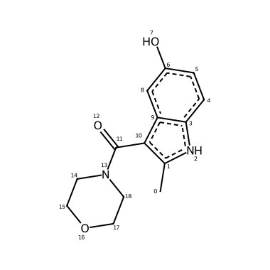 Cc1[nH]c2ccc(O)cc2c1C(=O)N1CCOCC1